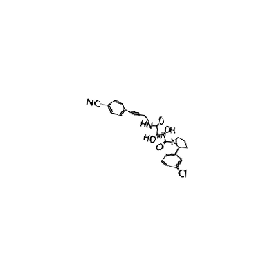 N#Cc1ccc(C#CCNC(=O)[C@H](O)[C@@H](O)C(=O)N2CCCC2c2cccc(Cl)c2)cc1